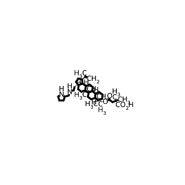 C=C(C)[C@@H]1CC[C@]2(CCNCC3CCCN3)CC[C@]3(C)[C@H](CC[C@@H]4[C@@]5(C)CC[C@H](OC(=O)CC(C)(C)C(=O)O)C(C)(C)[C@@H]5CC[C@]43C)[C@@H]12